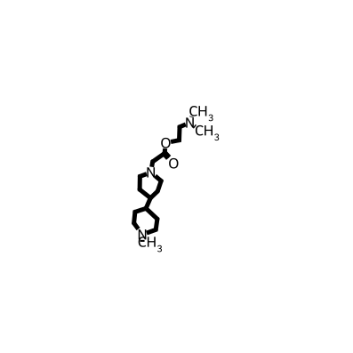 CN(C)CCOC(=O)CN1CCC(C2CCN(C)CC2)CC1